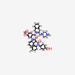 Cc1ccc(N(C(=O)c2cn(-c3cc4c(cc3C(=O)N3Cc5ccccc5C[C@H]3CN3CCN(C)CC3)OCO4)c3ccccc23)c2ccc(O)cc2)cc1